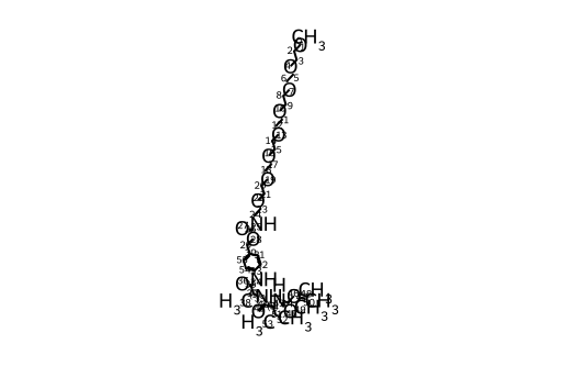 COCCOCCOCCOCCOCCOCCOCCOCCNC(=O)OCc1ccc(NC(=O)[C@H](C)NC(=O)[C@@H](NC(=O)OC(C)(C)C)C(C)C)cc1